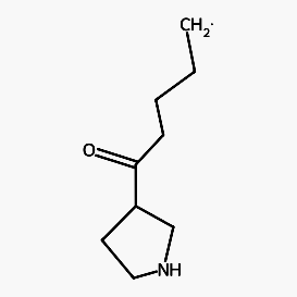 [CH2]CCCC(=O)C1CCNC1